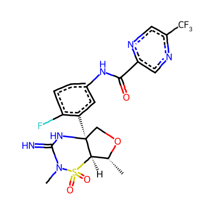 C[C@H]1OC[C@]2(c3cc(NC(=O)c4cnc(C(F)(F)F)cn4)ccc3F)NC(=N)N(C)S(=O)(=O)[C@H]12